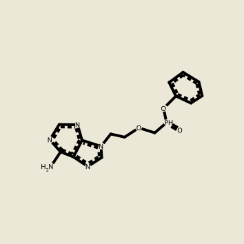 Nc1ncnc2c1ncn2CCOC[PH](=O)Oc1ccccc1